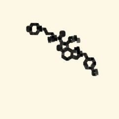 Cc1c(C(=O)NCCCN2CCOCC2)oc2c1-c1nn(Cc3ccc(Cl)cc3)cc1CC2